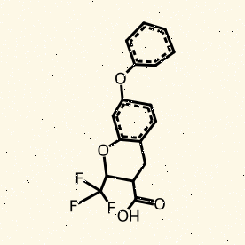 O=C(O)C1Cc2ccc(Oc3ccccc3)cc2OC1C(F)(F)F